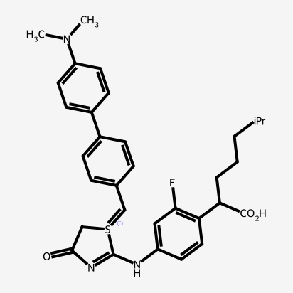 CC(C)CCCC(C(=O)O)c1ccc(NC2=NC(=O)C/S2=C\c2ccc(-c3ccc(N(C)C)cc3)cc2)cc1F